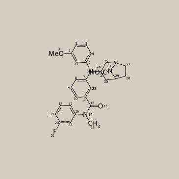 COc1cccc(N(c2cccc(C(=O)N(C)c3cccc(F)c3)c2)C2CC3CCC(C2)N3C(=O)O)c1